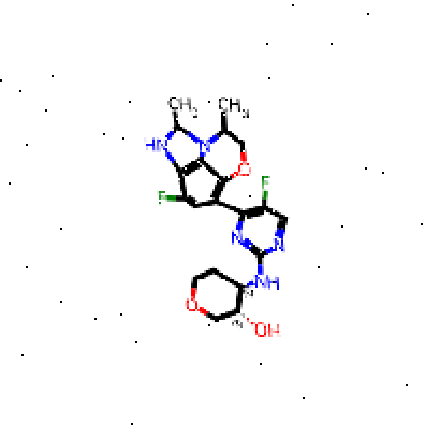 CC1COc2c(-c3nc(N[C@@H]4CCOC[C@H]4O)ncc3F)cc(F)c3c2N1C(C)N3